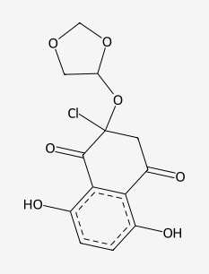 O=C1CC(Cl)(OC2COCO2)C(=O)c2c(O)ccc(O)c21